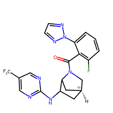 O=C(c1c(F)cccc1-n1nccn1)N1C[C@H]2CC(Nc3ncc(C(F)(F)F)cn3)C1C2